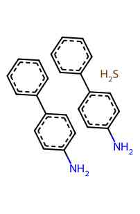 Nc1ccc(-c2ccccc2)cc1.Nc1ccc(-c2ccccc2)cc1.S